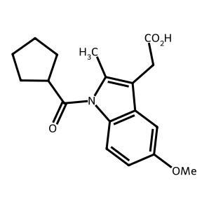 COc1ccc2c(c1)c(CC(=O)O)c(C)n2C(=O)C1CCCC1